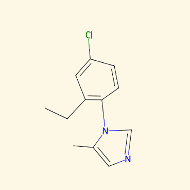 CCc1cc(Cl)ccc1-n1cncc1C